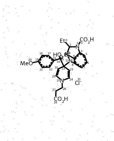 CCC1N(C(=O)O)c2ccc3cc2[N+]1(C(=O)O)N3C1(C(=O)c2ccc(OC)cc2)C=CN(CCC(=O)O)C=C1.[Cl-]